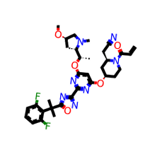 C=CC(=O)N1CC[C@H](Oc2cc(O[C@@H](C)[C@@H]3C[C@H](OC)CN3C)nc(-c3noc(C(C)(C)c4c(F)cccc4F)n3)n2)C[C@H]1CC#N